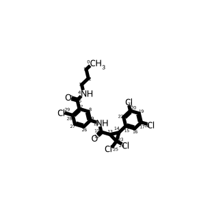 CCCCNC(=O)c1cc(NC(=O)C2C(c3cc(Cl)cc(Cl)c3)C2(Cl)Cl)ccc1Cl